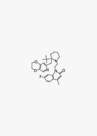 Cc1cc(=O)n(CCN2CC[CH]CC2(Cc2cc3c(cn2)OCCO3)C(C)(C)C)c2cc(F)ccc12